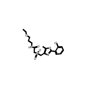 CCOCCCNC(=O)CS(=O)(=O)Cc1nc(-c2ccccc2Cl)oc1C